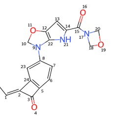 C/C=C1/C(=O)c2ccc(N3COc4cc(C(=O)N5COC5)[nH]c43)cc21